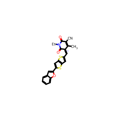 CCN1C(=O)C(C#N)=C(C)/C(=C/c2cc3sc(-c4cc5ccccc5o4)cc3s2)C1=O